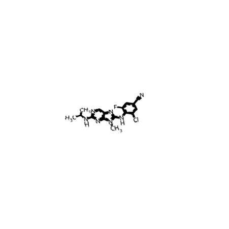 CC(C)Nc1ncc2nc(Nc3c(F)cc(C#N)cc3Cl)n(C)c2n1